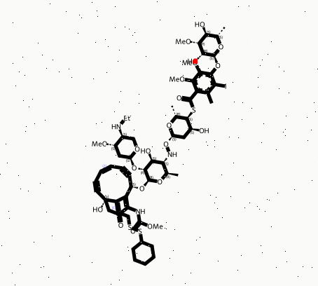 CCN[C@H]1CO[C@@H](O[C@H]2[C@H](O[C@H]3C#C/C=C\C#C[C@]4(O)CC(=O)C(NC(=O)OC)=C3/C4=C\CSSC3CCCCC3)O[C@H](C)[C@@H](NO[C@H]3C[C@H](O)[C@H](SC(=O)c4c(C)c(I)c(O[C@@H]5O[C@@H](C)[C@H](O)[C@@H](OC)[C@H]5O)c(OC)c4OC)[C@@H](C)O3)[C@@H]2O)C[C@@H]1OC